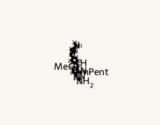 CCCCCNc1nc(N)nc2ccn(Cc3ccc(CN4CC(N(C)C)C4)cc3OC)c12